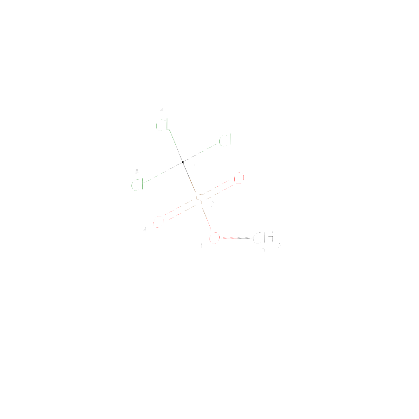 COS(=O)(=O)C(Cl)(Cl)Cl